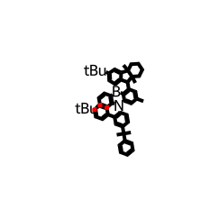 Cc1cc2c3c(c1)N(c1ccc(C(C)(C)c4ccccc4)cc1-c1ccccc1)c1cc(C(C)(C)C)ccc1B3c1cc(C(C)(C)C)cc3c1C2C1(C)CCCCC31C